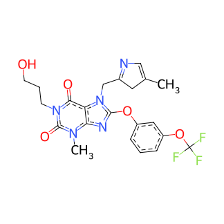 CC1=CN=C(Cn2c(Oc3cccc(OC(F)(F)F)c3)nc3c2c(=O)n(CCCO)c(=O)n3C)C1